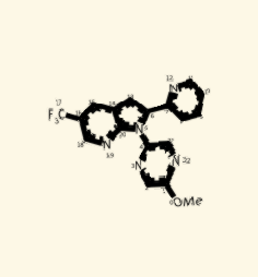 COc1cnc(-n2c(-c3ccccn3)cc3cc(C(F)(F)F)cnc32)cn1